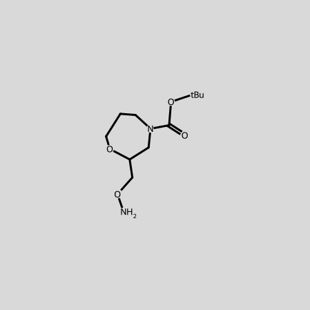 CC(C)(C)OC(=O)N1CCCOC(CON)C1